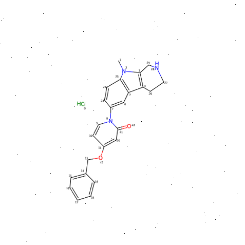 Cl.Cn1c2c(c3cc(-n4ccc(OCc5ccccc5)cc4=O)ccc31)CCNC2